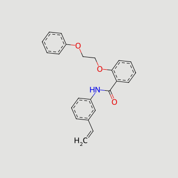 C=Cc1cccc(NC(=O)c2ccccc2OCCOc2ccccc2)c1